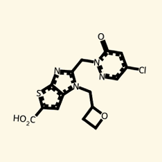 O=C(O)c1cc2c(nc(Cn3ncc(Cl)cc3=O)n2CC2CCO2)s1